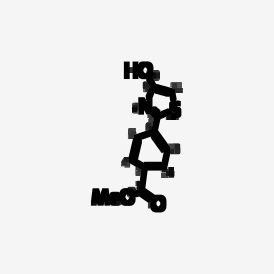 COC(=O)c1ccc(-c2nc(O)cs2)cc1